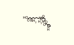 NC(CC(=O)ONCCCC[C@H](N)CC(=O)O)OC(=O)[C@H]1CCN1